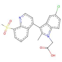 Cc1c(-c2ccnc3c(S(C)(=O)=O)cccc23)c2cc(Cl)ccc2n1CC(=O)O